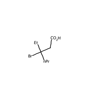 CCCC(Br)(CC)CC(=O)O